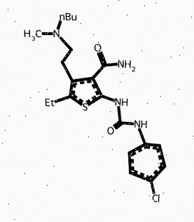 CCCCN(C)CCc1c(CC)sc(NC(=O)Nc2ccc(Cl)cc2)c1C(N)=O